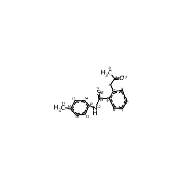 CC(=O)Cc1ccccc1C(=[Se])Nc1ccc(C)cc1